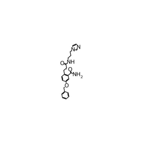 NC(=O)c1cc(OCc2ccccc2)ccc1C[CH]C(=O)NCCCn1ccnc1